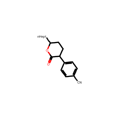 CCCCCCCC1CCC(c2ccc(C#N)cc2)C(=O)O1